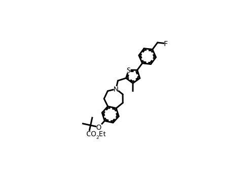 CCOC(=O)C(C)(C)Oc1ccc2c(c1)CCN(Cc1sc(-c3ccc(CF)cc3)cc1C)CC2